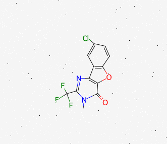 Cn1c(C(F)(F)F)nc2c(oc3ccc(Cl)cc32)c1=O